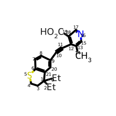 CCC1(CC)CCSc2ccc(C#Cc3c(C)cncc3C(=O)O)cc21